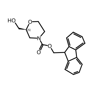 O=C(OCC1c2ccccc2-c2ccccc21)N1CCO[C@H](CO)C1